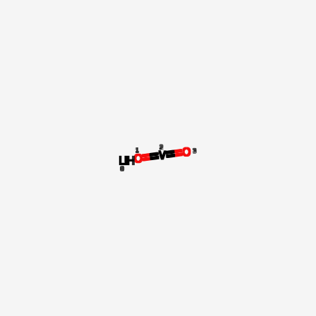 [LiH].[O]=[V]=[O]